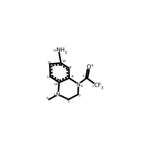 CN1CCN(C(=O)C(F)(F)F)c2cc(N)ccc21